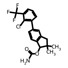 CC1(C)Cc2cc(-c3cccc(C(F)(F)F)c3Cl)ccc2C1OC(N)=O